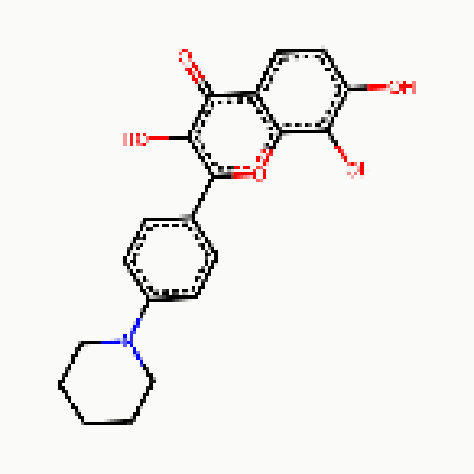 O=c1c(O)c(-c2ccc(N3CCCCC3)cc2)oc2c(O)c(O)ccc12